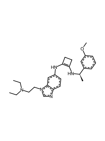 CCN(CC)CCn1cnc2ccc(NC3=C(N[C@H](C)c4cccc(OC)c4)CC3)cc21